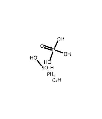 O=P(O)(O)O.O=S(=O)(O)O.P.[CsH]